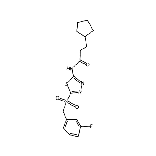 O=C(CCC1CCCC1)Nc1nnc(S(=O)(=O)Cc2cccc(F)c2)s1